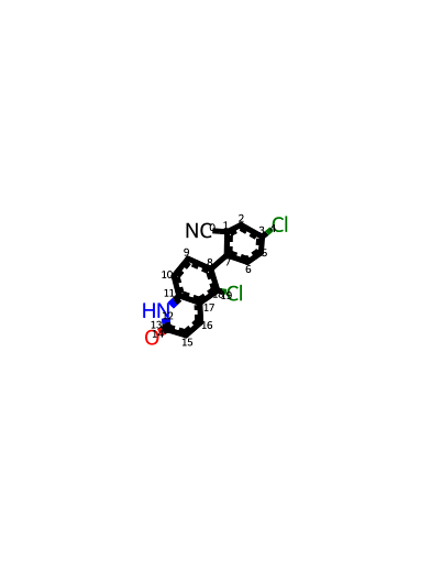 N#Cc1cc(Cl)ccc1-c1ccc2[nH]c(=O)ccc2c1Cl